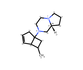 CC1CC2(N3CCN4CCC[C@@H]4C3)CC=CC12